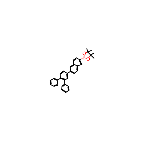 CC1(C)OB(c2ccc3cc(-c4ccc(-c5ccccc5)c(-c5ccccc5)c4)ccc3c2)OC1(C)C